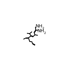 C=CCCC(=C\C)/C(=C/C(C)/C=C(\N)CN)C(C)C